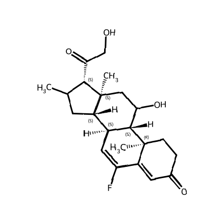 CC1C[C@H]2[C@@H]3C=C(F)C4=CC(=O)CC[C@]4(C)[C@H]3C(O)C[C@]2(C)[C@H]1C(=O)CO